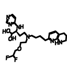 OC(O)[C@H](CCN(CCCCc1ccc2c(n1)NCCC2)CCOCC(F)F)Nc1ccncn1